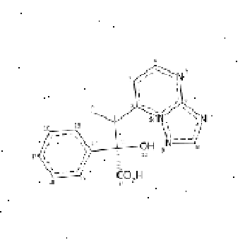 CC(c1ccnc2ncnn12)[C@](O)(C(=O)O)c1ccccc1